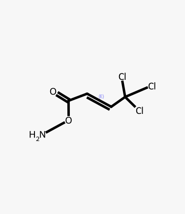 NOC(=O)/C=C/C(Cl)(Cl)Cl